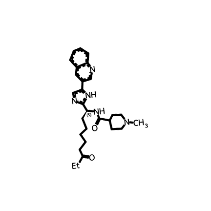 CCC(=O)CCCCC[C@H](NC(=O)C1CCN(C)CC1)c1ncc(-c2cnc3ccccc3c2)[nH]1